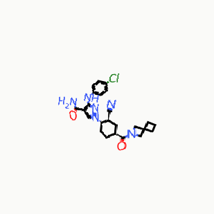 N#C[C@H]1C[C@@H](C(=O)N2CC3(CCC3)C2)CC[C@@H]1n1cc(C(N)=O)c(Nc2ccc(Cl)cc2)n1